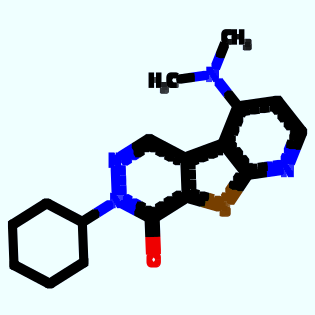 CN(C)c1ccnc2sc3c(=O)n(C4CCCCC4)ncc3c12